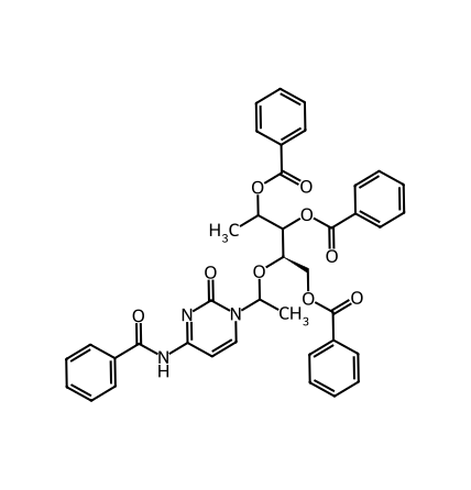 CC(OC(=O)c1ccccc1)C(OC(=O)c1ccccc1)[C@@H](COC(=O)c1ccccc1)OC(C)n1ccc(NC(=O)c2ccccc2)nc1=O